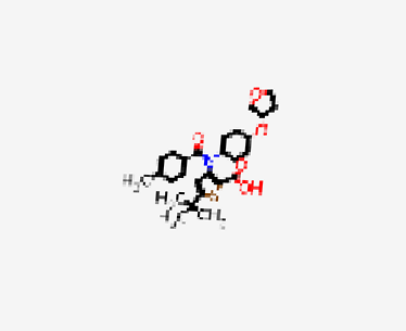 CC1=CC[C@@H](C(=O)N(c2cc(C(C)(C)C)sc2C(=O)O)[C@H]2CC[C@H](O[C@H]3CCOC3)CC2)CC1